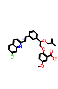 C=C(C)COC(COc1ccc(OC)cc1C(=O)O)c1cccc(/C=C/c2ccc3ccc(Cl)cc3n2)c1